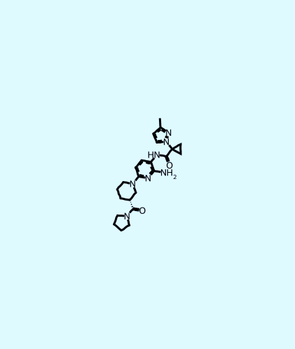 Cc1ccn(C2(C(=O)Nc3ccc(N4CCC[C@@H](C(=O)N5CCCC5)C4)nc3N)CC2)n1